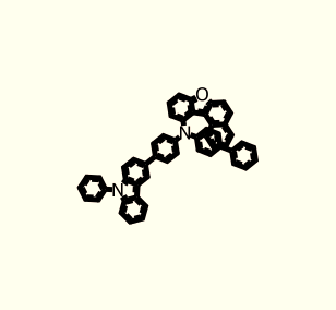 c1ccc(-c2ccc(N(c3ccc(-c4ccc5c(c4)c4ccccc4n5-c4ccccc4)cc3)c3cccc4oc5ccc6ccccc6c5c34)cc2)cc1